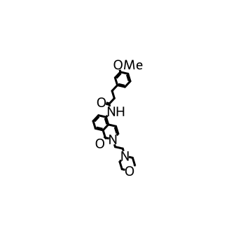 COc1cccc(CCC(=O)Nc2cccc3c(=O)n(CCN4CCOCC4)ccc23)c1